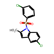 O=C(O)c1cc2cc(Cl)ccc2n1S(=O)(=O)c1cccc(Cl)c1